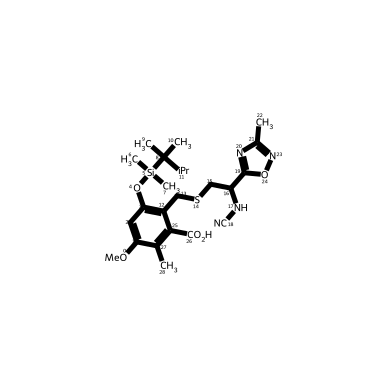 COc1cc(O[Si](C)(C)C(C)(C)C(C)C)c(CSCC(NC#N)c2nc(C)no2)c(C(=O)O)c1C